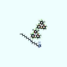 CCCCCCCCCCCCCCCCCC1=NCCN1.Fc1c(F)c(F)c(B(c2c(F)c(F)c(F)c(F)c2F)c2c(F)c(F)c(F)c(F)c2F)c(F)c1F.Fc1c(F)c(F)c(B(c2c(F)c(F)c(F)c(F)c2F)c2c(F)c(F)c(F)c(F)c2F)c(F)c1F